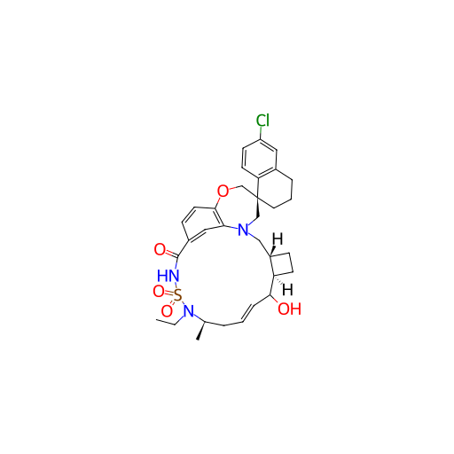 CCN1[C@H](C)C/C=C/C(O)[C@@H]2CC[C@H]2CN2C[C@@]3(CCCc4cc(Cl)ccc43)COc3ccc(cc32)C(=O)NS1(=O)=O